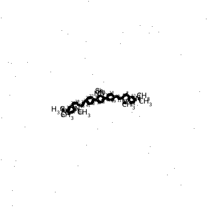 CN(C)c1ccc2c(ccc(/C=C/c3ccc(-c4ccc(-c5ccc(/C=C/c6ccc7cc(N(C)C)ccc7[n+]6C)cc5)c5n[se]nc45)cc3)[n+]2C)c1